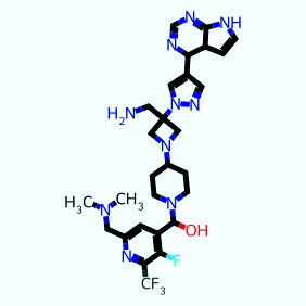 CN(C)Cc1cc(C(O)N2CCC(N3CC(CN)(n4cc(C5N=CN=C6NC=CC65)cn4)C3)CC2)c(F)c(C(F)(F)F)n1